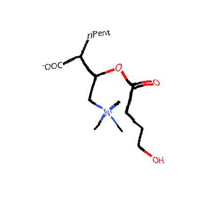 CCCCCC(C(=O)[O-])C(C[N+](C)(C)C)OC(=O)CCCO